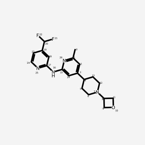 Cc1cc(C2CCN(C3COC3)CC2)cc(Nc2cc(C(F)F)ccn2)n1